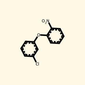 O=[N+]([O-])c1ccccc1Oc1cccc(Cl)c1